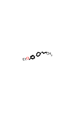 C=CCC[C@H]1CC[C@H](c2ccc(COCC)cc2)CC1